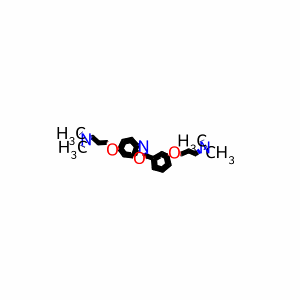 CN(C)CCCOc1cccc(-c2nc3ccc(OCCCN(C)C)cc3o2)c1